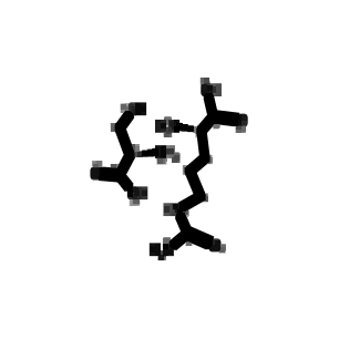 NC(=O)NCCC[C@H](N)C(=O)O.N[C@@H](CS)C(=O)O